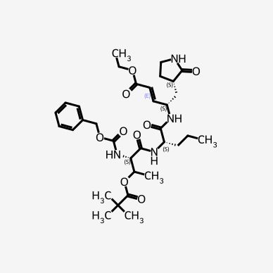 CCC[C@H](NC(=O)[C@@H](NC(=O)OCc1ccccc1)C(C)OC(=O)C(C)(C)C)C(=O)N[C@H](/C=C/C(=O)OCC)C[C@@H]1CCNC1=O